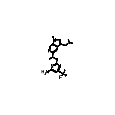 CC(Sc1nc(N)cc(C(F)(F)F)n1)c1cc2c(CN(C)C)cn(C)c2cn1